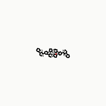 c1ccc([Si](c2ccccc2)(c2nccc3c2oc2ccc(-c4nccc5c4oc4ccccc45)cc23)c2nccc3c2oc2ccc(-c4nccc5c4oc4ccccc45)cc23)cc1